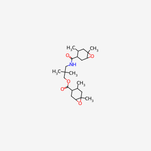 CC1CC2(C)OC2CC1C(=O)NCC(C)(C)COC(=O)C1CC2OC2(C)CC1C